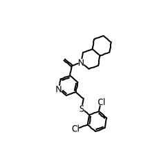 C=C(c1cncc(CSc2c(Cl)cccc2Cl)c1)N1CCC2CCCCC2C1